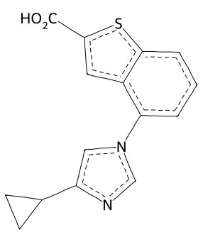 O=C(O)c1cc2c(-n3cnc(C4CC4)c3)cccc2s1